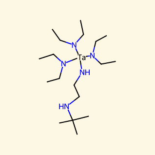 CC[N](CC)[Ta]([NH]CCNC(C)(C)C)([N](CC)CC)[N](CC)CC